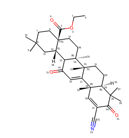 CCOC(=O)[C@]12CCC(C)(C)C[C@H]1C1C(=O)C=C3[C@@]4(C)C=C(C#N)C(=O)C(C)(C)[C@@H]4CC[C@@]3(C)[C@]1(C)CC2